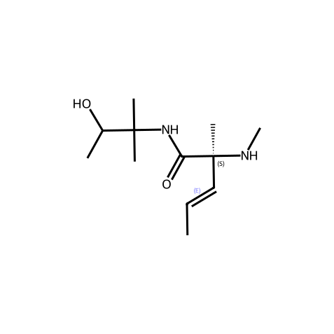 C/C=C/[C@](C)(NC)C(=O)NC(C)(C)C(C)O